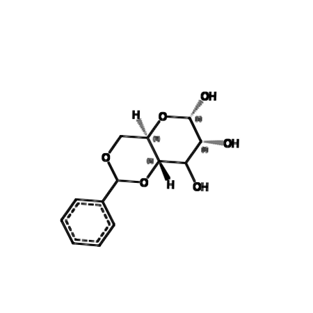 OC1[C@@H](O)[C@@H](O)O[C@@H]2COC(c3ccccc3)O[C@@H]12